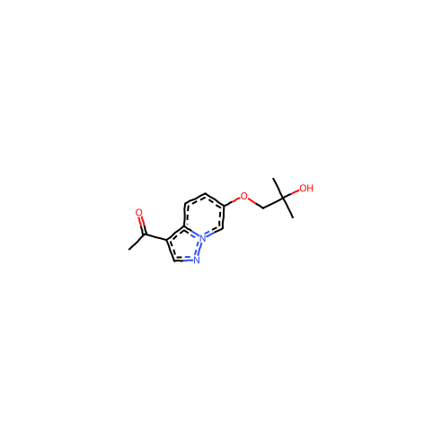 CC(=O)c1cnn2cc(OCC(C)(C)O)ccc12